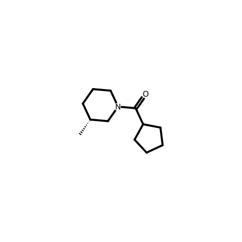 C[C@@H]1CCCN(C(=O)C2CCCC2)C1